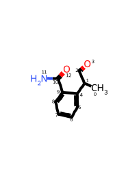 CC(C=O)c1ccccc1C(N)=O